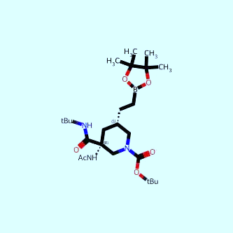 CC(=O)N[C@]1(C(=O)NC(C)(C)C)C[C@H](CCB2OC(C)(C)C(C)(C)O2)CN(C(=O)OC(C)(C)C)C1